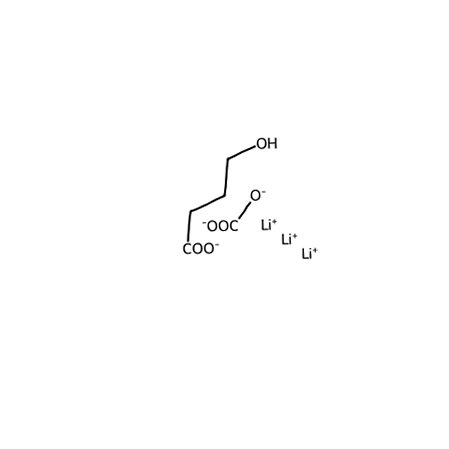 O=C([O-])CCCO.O=C([O-])[O-].[Li+].[Li+].[Li+]